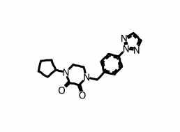 O=C1C(=O)N(C2CCCC2)CCN1Cc1ccc(-n2nccn2)cc1